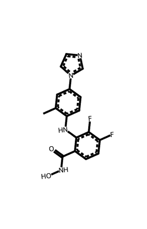 Cc1cc(-n2ccnc2)ccc1Nc1c(C(=O)NO)ccc(F)c1F